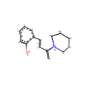 C=C(/C=C/c1ccccc1O)N1CCCCC1